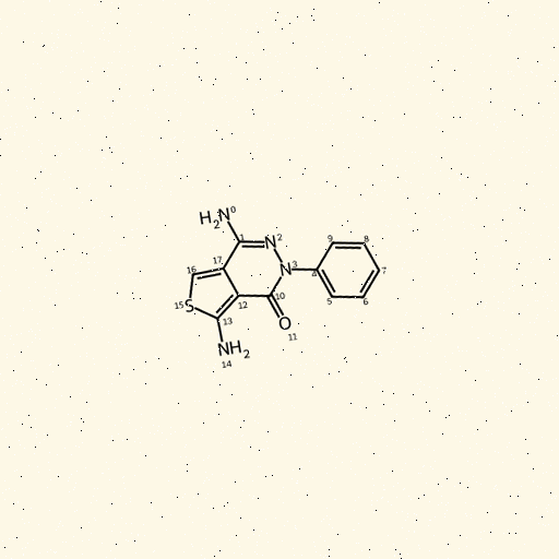 Nc1nn(-c2ccccc2)c(=O)c2c(N)scc12